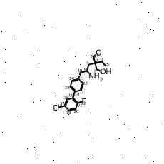 CCC(C=O)(CO)CC(N)Cc1ccc(-c2cc(Cl)ccc2F)cc1